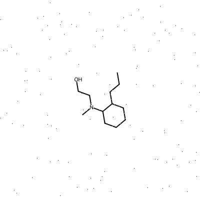 CCCC1CCCCC1N(C)CCO